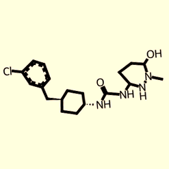 CN1NC(NC(=O)N[C@H]2CC[C@H](Cc3cccc(Cl)c3)CC2)CCC1O